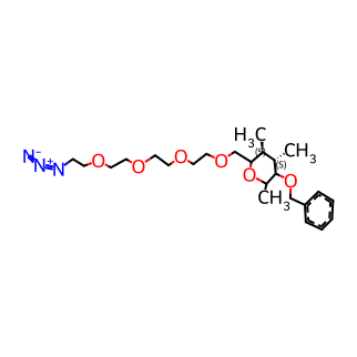 CC1OC(COCCOCCOCCOCCN=[N+]=[N-])[C@@H](C)[C@H](C)C1OCc1ccccc1